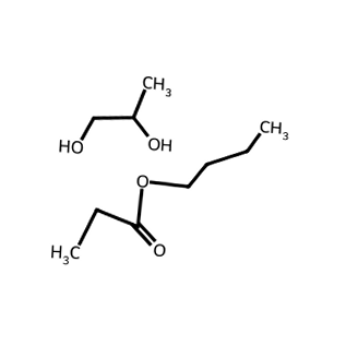 CC(O)CO.CCCCOC(=O)CC